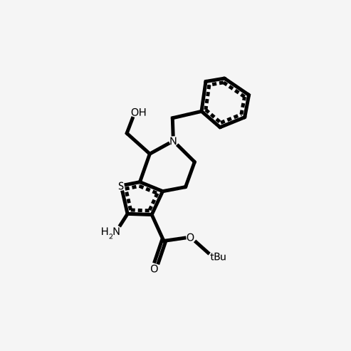 CC(C)(C)OC(=O)c1c(N)sc2c1CCN(Cc1ccccc1)C2CO